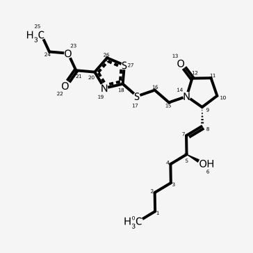 CCCCC[C@H](O)/C=C/[C@H]1CCC(=O)N1CCSc1nc(C(=O)OCC)cs1